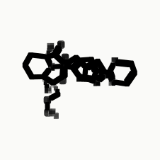 COC[C@H]1CN(Cc2cnn[nH]2)C(=O)[C@@H]2CCC[C@H]1N2S(=O)(=O)c1ccc(-c2ncccn2)cc1